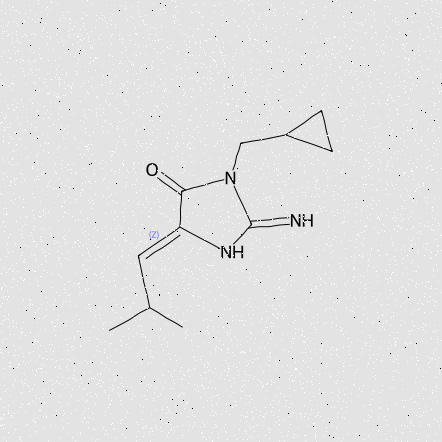 CC(C)/C=C1\NC(=N)N(CC2CC2)C1=O